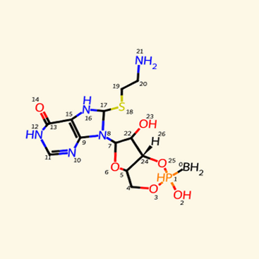 B[PH]1(O)OCC2OC(N3c4nc[nH]c(=O)c4NC3SCCN)C(O)[C@@H]2O1